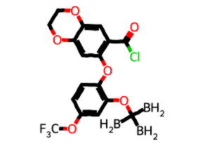 BC(B)(B)Oc1cc(OC(F)(F)F)ccc1Oc1cc2c(cc1C(=O)Cl)OCCO2